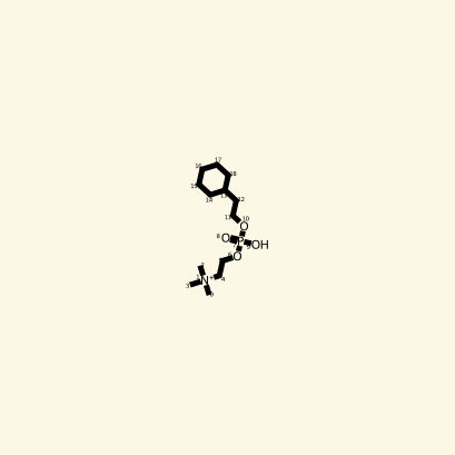 C[N+](C)(C)CCOP(=O)(O)OCCC1CCCCC1